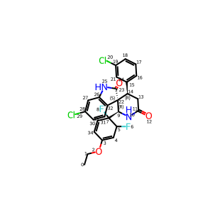 CCOC1=CC(F)C(F)([C@@H]2NC(=O)C[C@H](c3cccc(Cl)c3)[C@@]23C(=O)Nc2cc(Cl)ccc23)C=C1